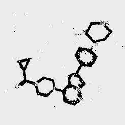 O=C(C1CC1)N1CCN(c2ccnn3cc(-c4ccc([C@H]5CCNC[C@H]5F)cc4)cc23)CC1